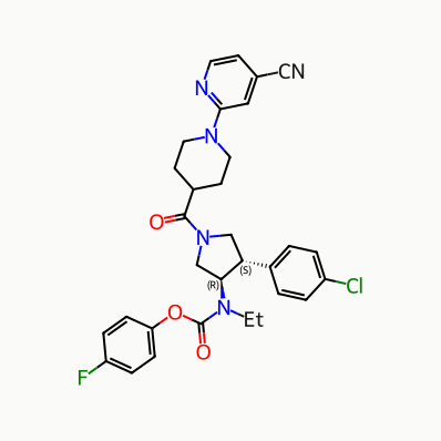 CCN(C(=O)Oc1ccc(F)cc1)[C@H]1CN(C(=O)C2CCN(c3cc(C#N)ccn3)CC2)C[C@@H]1c1ccc(Cl)cc1